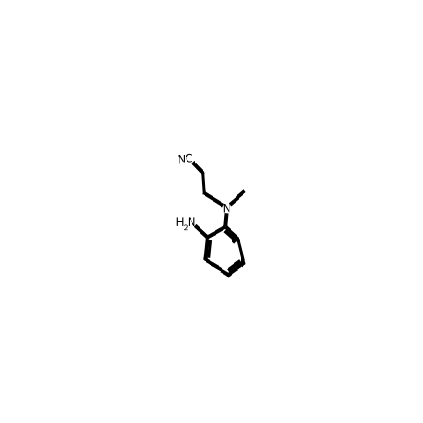 CN(CCC#N)c1ccccc1N